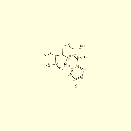 CCC(C(=O)O)c1cccc(C(=O)c2ccc(Cl)cc2)c1N.[NaH]